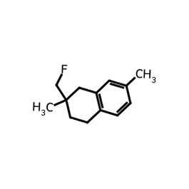 Cc1ccc2c(c1)CC(C)(CF)CC2